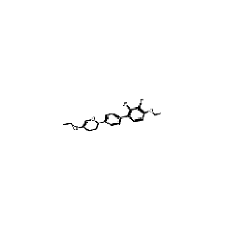 CCOC1=COC(c2ccc(-c3ccc(OCC)c(F)c3F)cc2)CC1